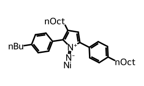 CCCCCCCCC1=C(c2ccc(CCCC)cc2)[N+](=[N-])C(c2ccc(CCCCCCCC)cc2)=C1.[Ni]